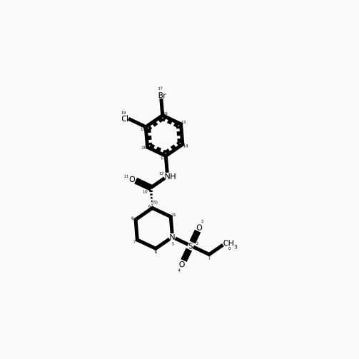 CCS(=O)(=O)N1CCC[C@H](C(=O)Nc2ccc(Br)c(Cl)c2)C1